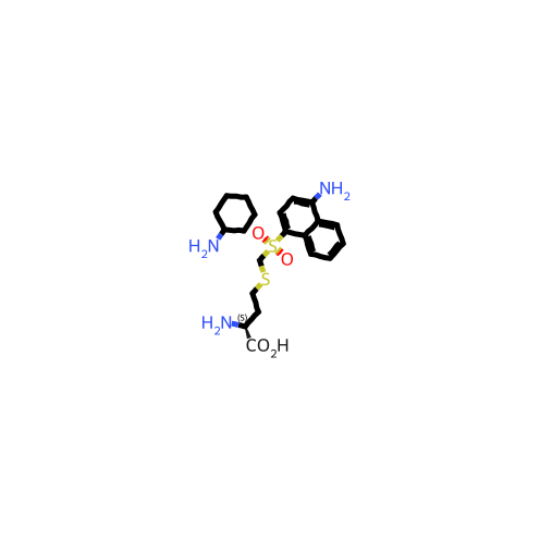 NC1CCCCC1.Nc1ccc(S(=O)(=O)CSCC[C@H](N)C(=O)O)c2ccccc12